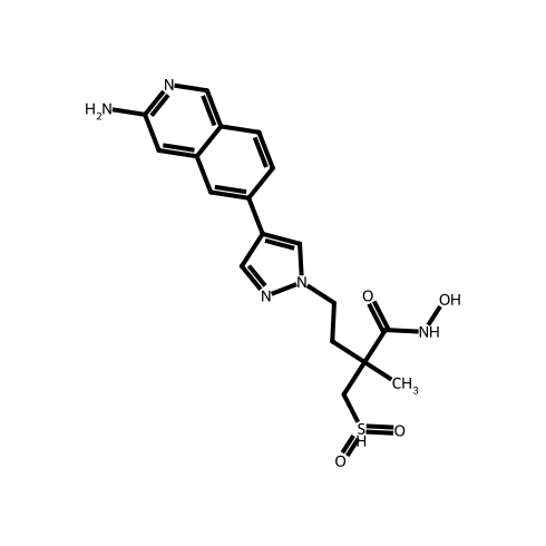 CC(CCn1cc(-c2ccc3cnc(N)cc3c2)cn1)(C[SH](=O)=O)C(=O)NO